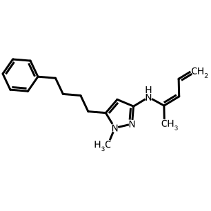 C=C/C=C(/C)Nc1cc(CCCCc2ccccc2)n(C)n1